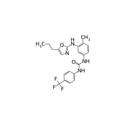 CCCc1cnc(Nc2cc(NC(=O)Nc3ccc(C(F)(F)F)cc3)ccc2C)o1